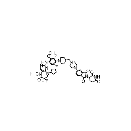 COc1cc(N2CCC(CN3CCN(c4ccc5c(c4)C(=O)N(C4CCC(=O)NC4=O)C5=O)CC3)CC2)c(F)cc1Nc1ncc2c(n1)N(C1CCCC1)CC(F)(F)C(=O)N2C